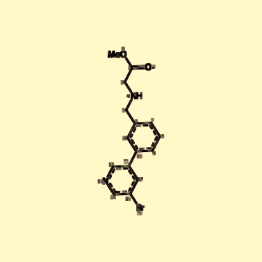 COC(=O)CNCc1cccc(-c2cncc(Br)c2)c1